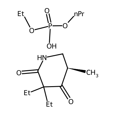 CCC1(CC)C(=O)NC[C@@H](C)C1=O.CCCOP(=O)(O)OCC